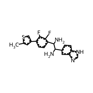 Cc1cc(-c2ccc(C(N)C(N)c3ccc4[nH]cnc4c3)c(F)c2F)cs1